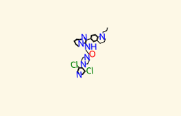 CCCN1CCCc2cc(-c3nc4ccccn4c3NCC(=O)N3CCN(c4c(Cl)cncc4Cl)CC3)ccc21